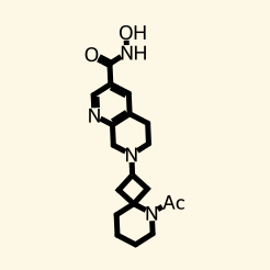 CC(=O)N1CCCCC12CC(N1CCc3cc(C(=O)NO)cnc3C1)C2